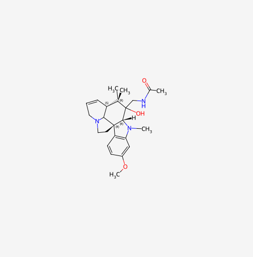 CC[C@]12C=CCN3CC[C@@]4(c5ccc(OC)cc5N(C)[C@H]4C(O)(CNC(C)=O)[C@@H]1C)C32